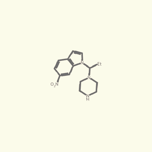 CCC(N1CCNCC1)n1ccc2ccc([N+](=O)[O-])cc21